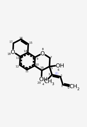 C=C/C=C(\C)C1(O)COc2c(ccc3c2C=CCO3)C1O